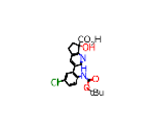 CC(C)(C)OC(=O)Nc1ccc(Cl)cc1-c1cnc2c(c1)CCC2(O)C(=O)O